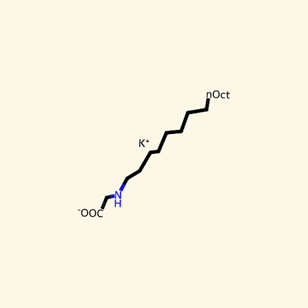 CCCCCCCCCCCCCCCCNCC(=O)[O-].[K+]